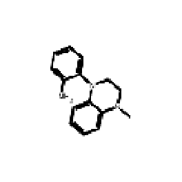 CN1CCN(c2ccccc2N)c2ccccc21